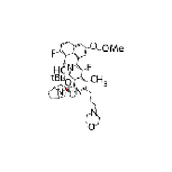 C#Cc1c(F)ccc2cc(OCOC)cc(-c3ncc4c(N5CC6CCC(C5)N6C(=O)OC(C)(C)C)nc(CCCN5CCOCC5)c(C)c4c3F)c12